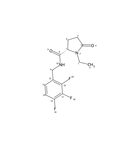 CCN1C(=O)CC[C@H]1C(=O)NCc1ccc(F)c(F)c1F